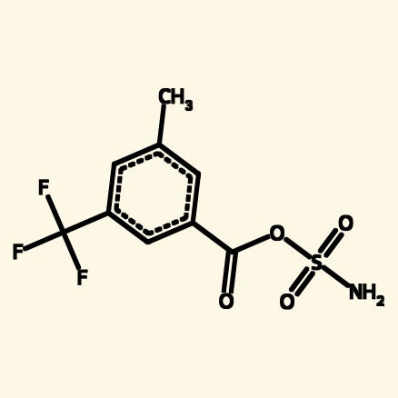 Cc1cc(C(=O)OS(N)(=O)=O)cc(C(F)(F)F)c1